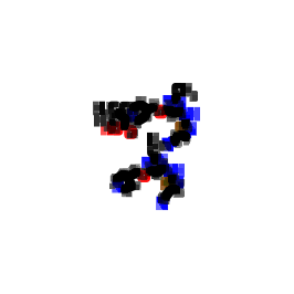 Cc1nc(Nc2ncc(C#N)s2)cc(OCC2CCN(C(C(=O)O)C(C)(C)C)CC2)n1.Cc1nc(Nc2ncc(C#N)s2)cc(OCC2CC[N]CC2)n1